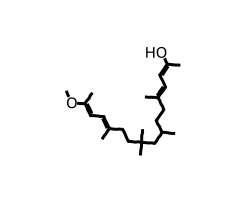 CO/C(C)=C/C=C(\C)CCC(C)(C)CC(C)CC/C(C)=C/C=C(\C)O